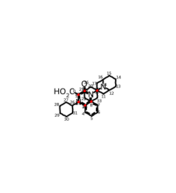 O=C(O)c1nc2ccccc2n(C2CC3CCCC(C2)N3C2CC3CC(CC(C4CCCCC4)C3)C2)c1=O